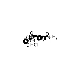 CNC(=O)c1cnc2ccc(/C=C3\SC(Nc4c(Cl)cccc4Cl)=NC3=O)cc2c1.Cl